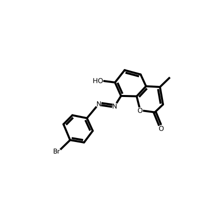 Cc1cc(=O)oc2c(/N=N/c3ccc(Br)cc3)c(O)ccc12